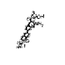 CCCN(CCO)C(=O)C1=Cc2ccc(-c3ccc4c(=O)n(CC(=O)NC)ccc4c3)cc2N=C(N)C1